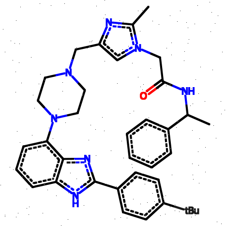 Cc1nc(CN2CCN(c3cccc4[nH]c(-c5ccc(C(C)(C)C)cc5)nc34)CC2)cn1CC(=O)NC(C)c1ccccc1